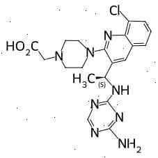 C[C@H](Nc1ncnc(N)n1)c1cc2cccc(Cl)c2nc1N1CCN(CC(=O)O)CC1